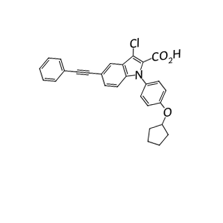 O=C(O)c1c(Cl)c2cc(C#Cc3ccccc3)ccc2n1-c1ccc(OC2CCCC2)cc1